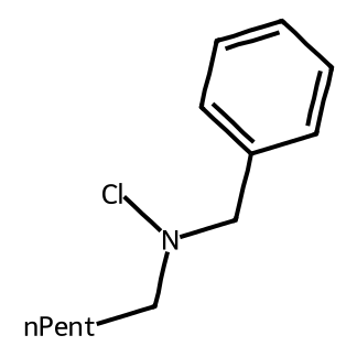 CCCCCCN(Cl)Cc1ccccc1